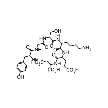 NCCCC[C@H](NC(=O)[C@H](CO)NC(=O)CNC(=O)[C@@H](N)Cc1ccc(O)cc1)C(=O)N[C@@H](CCC(=O)O)C(=O)N[C@@H](CC(=O)O)C(=O)O